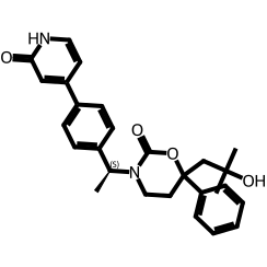 C[C@@H](c1ccc(-c2cc[nH]c(=O)c2)cc1)N1CCC(CC(C)(C)O)(c2ccccc2)OC1=O